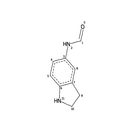 O=CNc1ccc2c(c1)CCN2